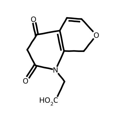 O=C(O)CN1C(=O)CC(=O)C2=C1COC=C2